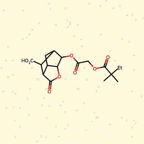 CCC(C)(C)C(=O)OCC(=O)OC1C2CC3C1OC(=O)C3C2C(=O)O